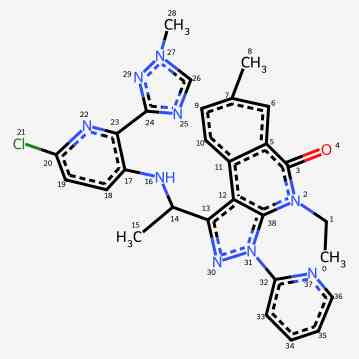 CCn1c(=O)c2cc(C)ccc2c2c(C(C)Nc3ccc(Cl)nc3-c3ncn(C)n3)nn(-c3ccccn3)c21